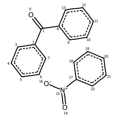 O=C(c1ccccc1)c1ccccc1.O=[N+]([O-])c1ccccc1